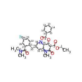 CCOC(=O)c1c(OC(=O)c2ccccc2)c2ncc(Cc3ccc(F)cc3C(=O)N(C)C)cc2n(C)c1=O